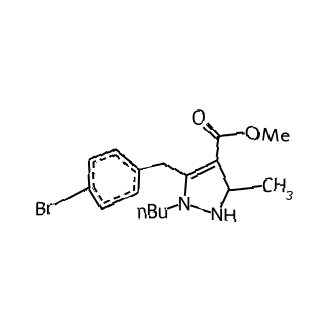 CCCCN1NC(C)C(C(=O)OC)=C1Cc1ccc(Br)cc1